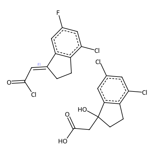 O=C(Cl)/C=C1\CCc2c(Cl)cc(F)cc21.O=C(O)CC1(O)CCc2c(Cl)cc(Cl)cc21